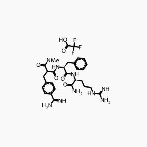 CNC(=O)C(Cc1ccc(C(=N)N)cc1)C(=O)N[C@@H](Cc1ccccc1)C(=O)N[C@@H](CCCNC(=N)N)C(N)=O.O=C(O)C(F)(F)F